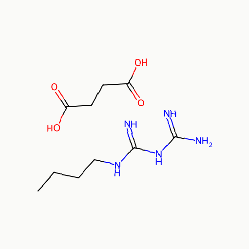 CCCCNC(=N)NC(=N)N.O=C(O)CCC(=O)O